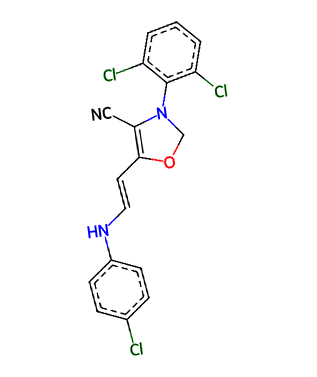 N#CC1=C(C=CNc2ccc(Cl)cc2)OCN1c1c(Cl)cccc1Cl